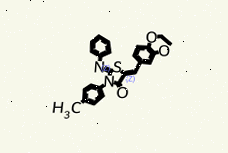 Cc1ccc(N2C(=O)/C(=C/c3ccc4c(c3)OCCO4)S/C2=N\c2ccccc2)cc1